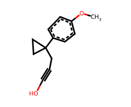 COc1ccc(C2(CC#CO)CC2)cc1